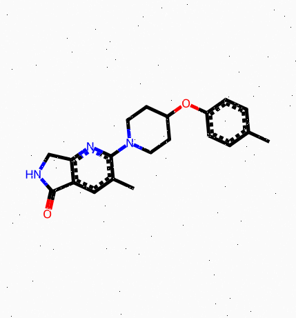 Cc1ccc(OC2CCN(c3nc4c(cc3C)C(=O)NC4)CC2)cc1